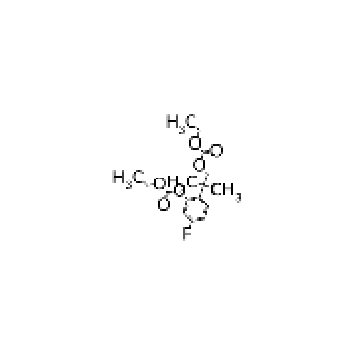 CCOC(=O)OCC(C)(C)c1ccc(F)cc1OC(=O)OCC